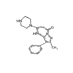 Cc1nn2c(=O)cc(N3CCNCC3)[nH]c2c1-c1ccccc1